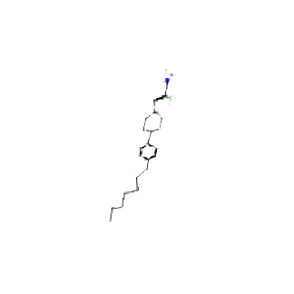 CCCCCCCc1ccc(C2CCC(C=C(F)C#N)CC2)cc1